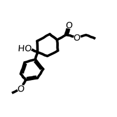 CCOC(=O)C1CCC(O)(c2ccc(OC)cc2)CC1